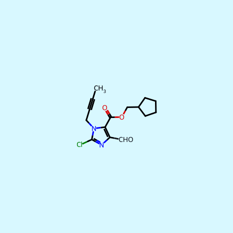 CC#CCn1c(Cl)nc(C=O)c1C(=O)OCC1CCCC1